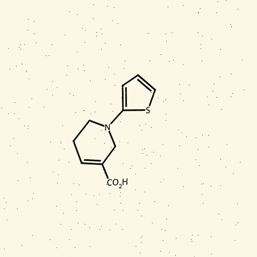 O=C(O)C1=CCCN(c2cccs2)C1